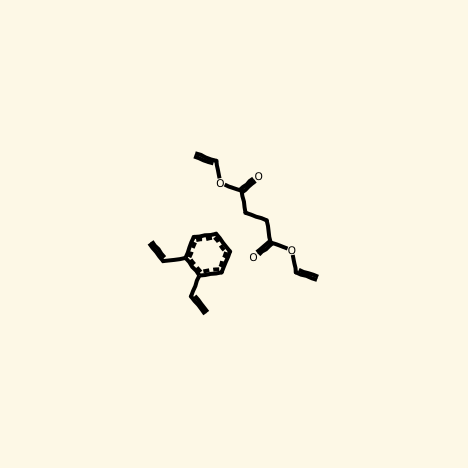 C=COC(=O)CCC(=O)OC=C.C=Cc1ccccc1C=C